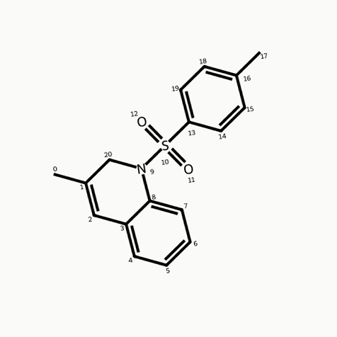 CC1=Cc2ccccc2N(S(=O)(=O)c2ccc(C)cc2)C1